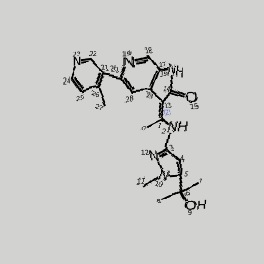 C/C(Nc1cc(C(C)(C)O)n(C)n1)=C1/C(=O)Nc2cnc(-c3cnccc3C)cc21